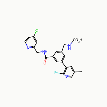 Cc1cnc(F)c(-c2cc(CNC(=O)O)cc(C(=O)NCc3cc(Cl)ccn3)c2)c1